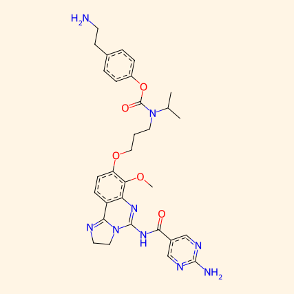 COc1c(OCCCN(C(=O)Oc2ccc(CCN)cc2)C(C)C)ccc2c1N=C(NC(=O)c1cnc(N)nc1)N1CCN=C21